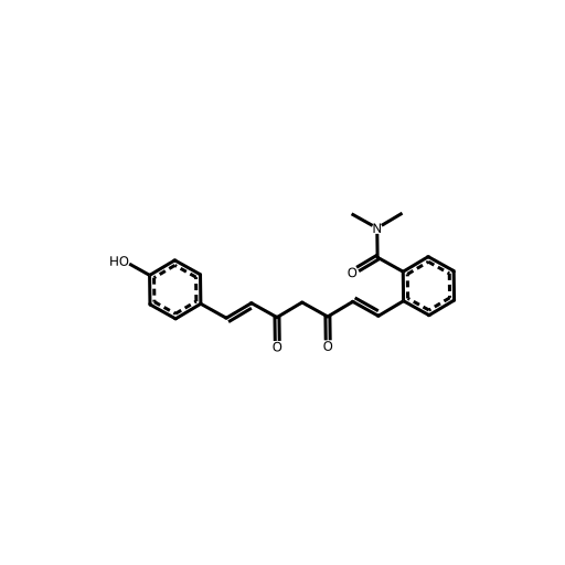 CN(C)C(=O)c1ccccc1C=CC(=O)CC(=O)C=Cc1ccc(O)cc1